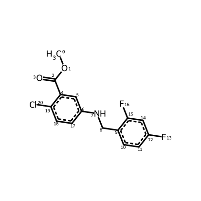 COC(=O)c1cc(NCc2ccc(F)cc2F)ccc1Cl